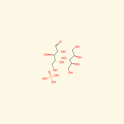 O=C[C@H](O)[C@H](O)[C@H](O)CO.O=P(O)(O)O.OC[C@@H](O)[C@@H](O)[C@@H](O)CO